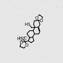 CC1(C2CCC3C4CC=C5CC6(CCC5(CS)C4CC[C@@]32C)OCCO6)OCCO1